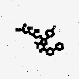 CC(C)c1c(C(=O)N2CCCC(c3ccccc3)C2)nn(-c2ccc(F)cc2)c1OC[C@@H](O)C[C@@H](O)CC(=O)O